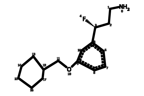 NCC[C@@H](F)c1cccc(OCC2CCCCC2)c1